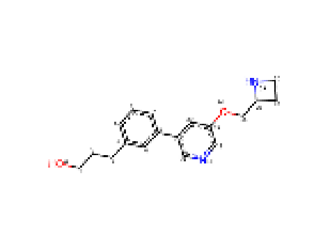 OCCCc1cccc(-c2cncc(OCC3CCN3)c2)c1